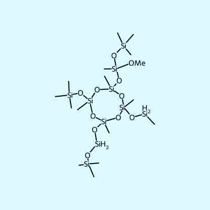 CO[Si](C)(O[Si](C)(C)C)O[Si]1(C)O[Si](C)(O[SiH2]C)O[Si](C)(O[SiH2]O[Si](C)(C)C)O[Si](C)(O[Si](C)(C)C)O1